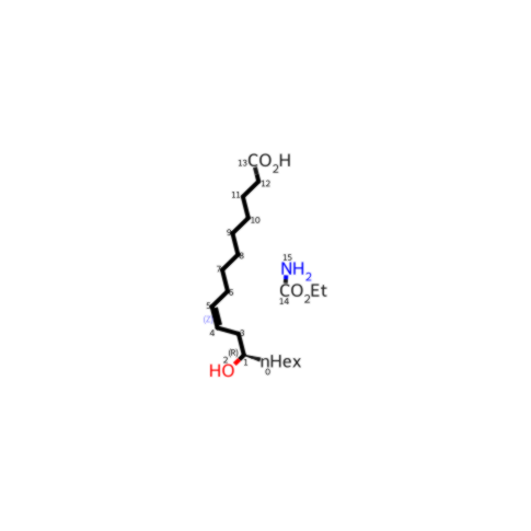 CCCCCC[C@@H](O)C/C=C\CCCCCCCC(=O)O.CCOC(N)=O